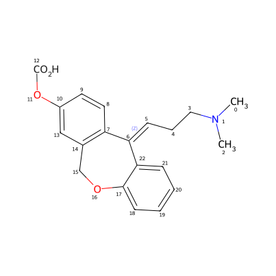 CN(C)CC/C=C1/c2ccc(OC(=O)O)cc2COc2ccccc21